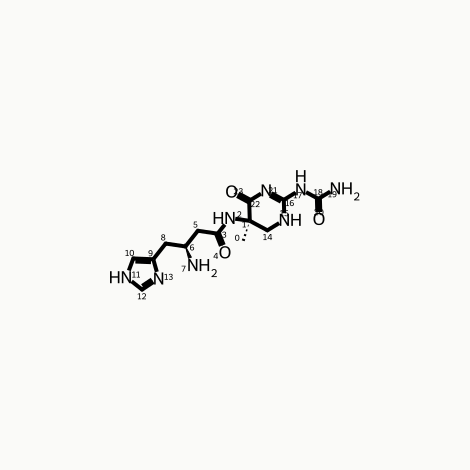 C[C@@]1(NC(=O)C[C@@H](N)Cc2c[nH]cn2)CNC(NC(N)=O)=NC1=O